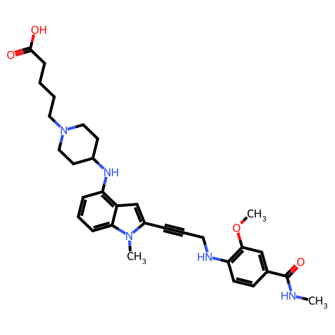 CNC(=O)c1ccc(NCC#Cc2cc3c(NC4CCN(CCCCC(=O)O)CC4)cccc3n2C)c(OC)c1